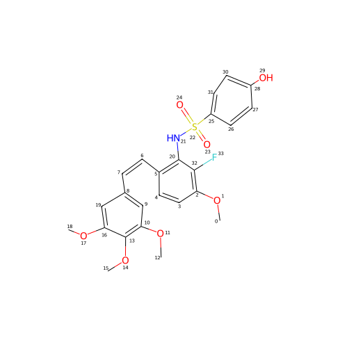 COc1ccc(/C=C\c2cc(OC)c(OC)c(OC)c2)c(NS(=O)(=O)c2ccc(O)cc2)c1F